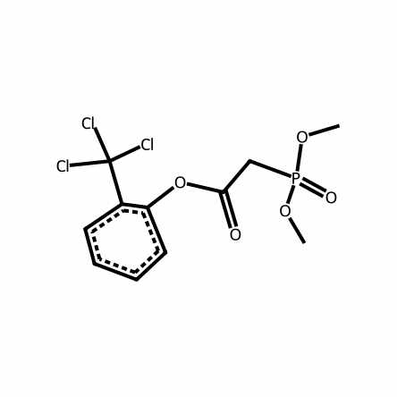 COP(=O)(CC(=O)Oc1ccccc1C(Cl)(Cl)Cl)OC